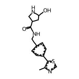 Cc1ncsc1-c1ccc(CNC(=O)C2CNC(O)C2)cc1